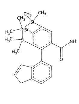 C[Si]1(C)c2cc(C([NH])=O)c(-c3cccc4c3C=CC4)c(c2Br)[Si](C)(C)[Si]1(C)C